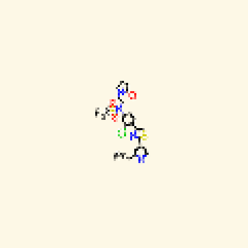 CC(C)Cc1cc(-c2nc(-c3ccc(N(CCN4CCCC4=O)S(=O)(=O)C(F)(F)F)cc3Cl)cs2)ccn1